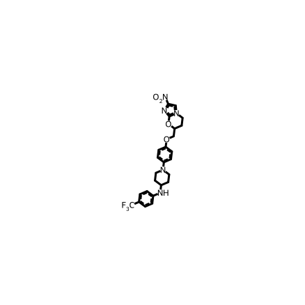 O=[N+]([O-])c1cn2c(n1)OC(COc1ccc(N3CCC(Nc4ccc(C(F)(F)F)cc4)CC3)cc1)CC2